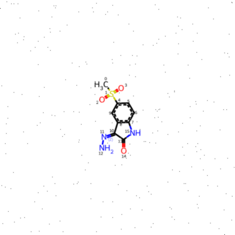 CS(=O)(=O)c1ccc2c(c1)/C(=N/N)C(=O)N2